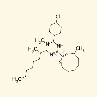 C=NC(NC(=N\CC(C)CCCCCC)/C1=C/C(C)CCCCCS1)C1CCC(Cl)CC1